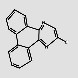 Clc1cnc2c3ccccc3c3ccccc3c2n1